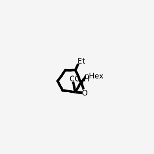 CCCCCCC12OC1(C(=O)O)CCCC2CC